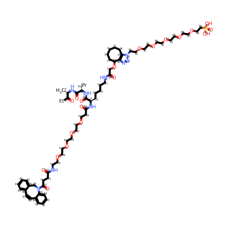 CCC(=O)[C@H](C)NC(=O)[C@@H](NC(=O)[C@@H](CCCCCNC(=O)COC1CCCCCc2c1nnn2CCOCCOCCOCCOCCOCCP(=O)(O)O)NC(=O)CCOCCOCCOCCOCCNC(=O)CCC(=O)N1Cc2ccccc2C#Cc2ccccc21)C(C)C